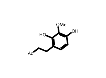 COc1c(O)ccc(CCC(C)=O)c1O